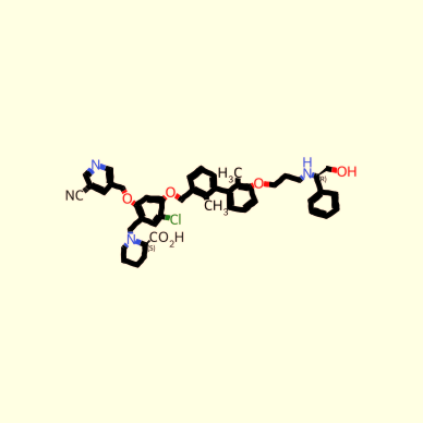 Cc1c(COc2cc(OCc3cncc(C#N)c3)c(CN3CCCC[C@H]3C(=O)O)cc2Cl)cccc1-c1cccc(OCCCN[C@@H](CO)c2ccccc2)c1C